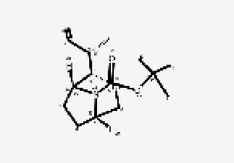 C=C[C@H](C)[C@@H]1NC[C@@H]2CC[C@H]1N2C(=O)OC(C)(C)C